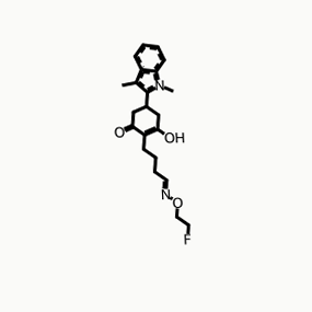 Cc1c(C2CC(=O)C(CCCC=NOCCF)=C(O)C2)n(C)c2ccccc12